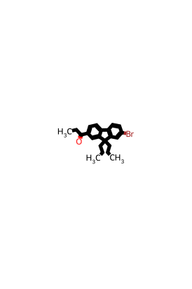 CCCC1(CCC)c2cc(Br)ccc2-c2ccc(C(=O)CC)cc21